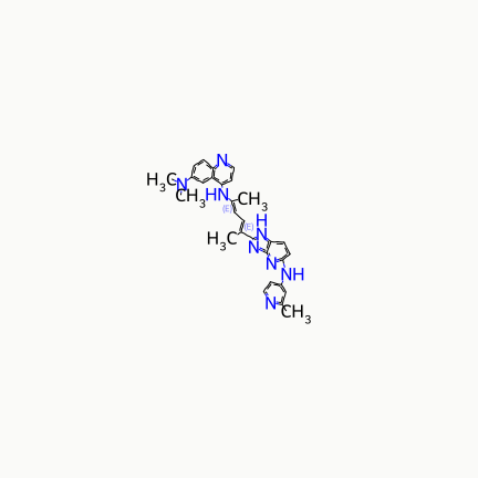 C/C(=C\C=C(/C)c1nc2nc(Nc3ccnc(C)c3)ccc2[nH]1)Nc1ccnc2ccc(N(C)C)cc12